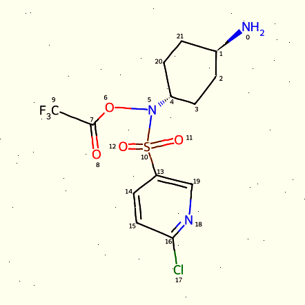 N[C@H]1CC[C@H](N(OC(=O)C(F)(F)F)S(=O)(=O)c2ccc(Cl)nc2)CC1